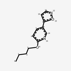 CCCCOc1ccc(-c2ccno2)cn1